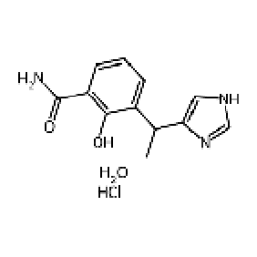 CC(c1c[nH]cn1)c1cccc(C(N)=O)c1O.Cl.O